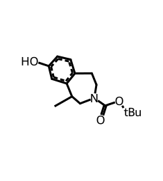 CC1CN(C(=O)OC(C)(C)C)CCc2ccc(O)cc21